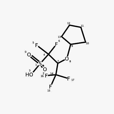 O=S(=O)(O)C(F)(F)C(OC1CCCC1)C(F)(F)F